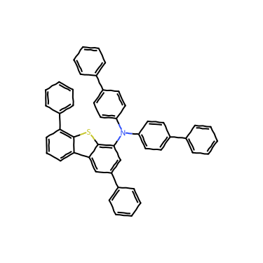 c1ccc(-c2ccc(N(c3ccc(-c4ccccc4)cc3)c3cc(-c4ccccc4)cc4c3sc3c(-c5ccccc5)cccc34)cc2)cc1